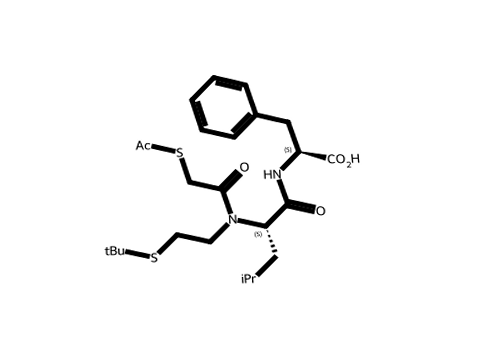 CC(=O)SCC(=O)N(CCSC(C)(C)C)[C@@H](CC(C)C)C(=O)N[C@@H](Cc1ccccc1)C(=O)O